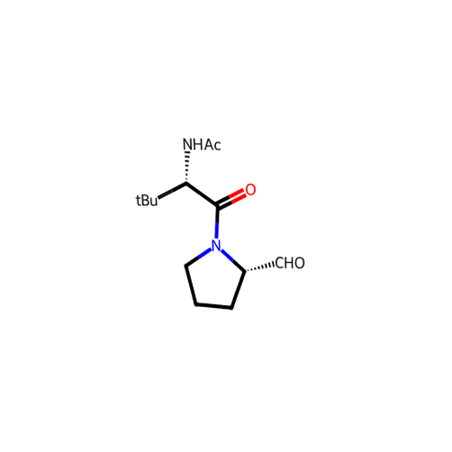 CC(=O)N[C@H](C(=O)N1CCC[C@H]1C=O)C(C)(C)C